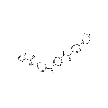 O=C(Nc1ccc(C(=O)c2ccc(NC(=O)c3ccco3)cc2)cc1)c1ccc(N2CCOCC2)cc1